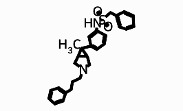 CC1(c2cccc(NS(=O)(=O)Cc3ccccc3)c2)C2CN(CCCc3ccccc3)CC21